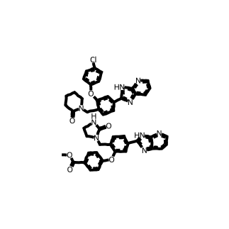 COC(=O)c1ccc(Oc2cc(-c3nc4cccnc4[nH]3)ccc2CN2CCNC2=O)cc1.O=C1CCCCN1Cc1ccc(-c2nc3cccnc3[nH]2)cc1Oc1ccc(Cl)cc1